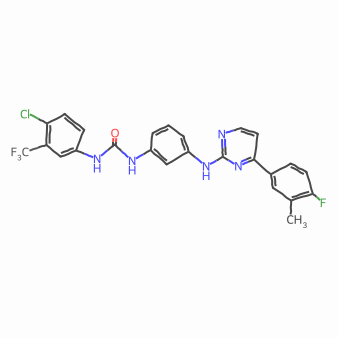 Cc1cc(-c2ccnc(Nc3cccc(NC(=O)Nc4ccc(Cl)c(C(F)(F)F)c4)c3)n2)ccc1F